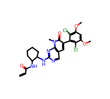 C=CC(=O)NC1CCCCC1Nc1ncc2cc(-c3c(Cl)c(OC)cc(OC)c3Cl)c(=O)n(C)c2n1